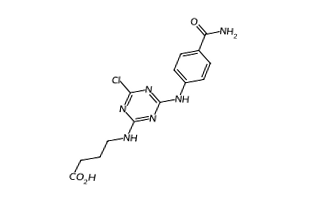 NC(=O)c1ccc(Nc2nc(Cl)nc(NCCCC(=O)O)n2)cc1